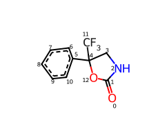 O=C1NCC(c2ccccc2)(C(F)(F)F)O1